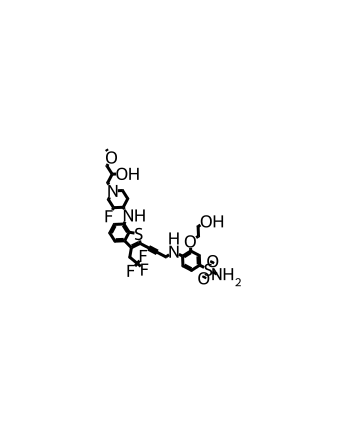 COCC(O)CN1CCC(Nc2cccc3c(CC(F)(F)F)c(C#CCNc4ccc(S(N)(=O)=O)cc4OCCO)sc23)C(F)C1